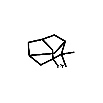 CCCC12CC3CC(CC(C3)C1(C)C)C2